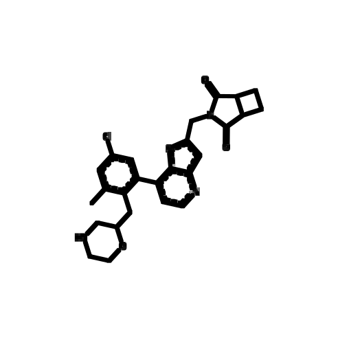 Cc1cc(Cl)cc(-c2ccnc3cc(CN4C(=O)C5CCC5C4=O)sc23)c1CC1CNCCO1